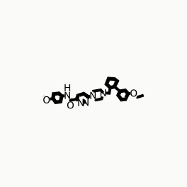 CCOc1cccc(-c2ccccc2CN2CCN(c3ccc(C(=O)Nc4ccc(OC)cc4)nn3)CC2)c1